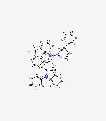 CC1(C)c2ccccc2-c2c(N(c3cccc(-c4ccccc4)c3)c3ccc4c(c3)c3ccccc3n4-c3ccccc3)cccc21